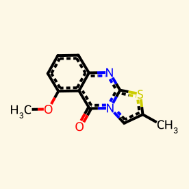 COc1cccc2nc3sc(C)cn3c(=O)c12